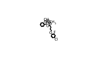 COP(=O)(OC)C(OC(=O)CCCOc1ccc(Cl)cc1F)c1ccccc1